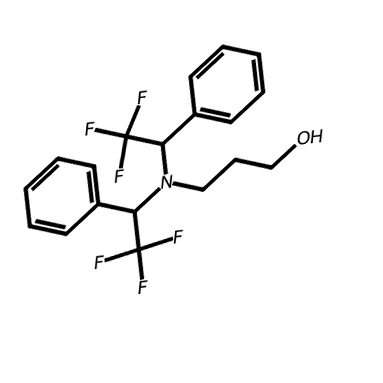 OCCCN(C(c1ccccc1)C(F)(F)F)C(c1ccccc1)C(F)(F)F